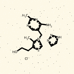 Cc1ncc(C[n+]2csc(CCO)c2C)c(N)n1.[Cl-].c1c[nH]nn1